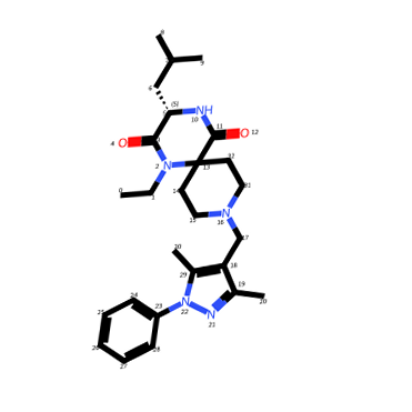 CCN1C(=O)[C@H](CC(C)C)NC(=O)C12CCN(Cc1c(C)nn(-c3ccccc3)c1C)CC2